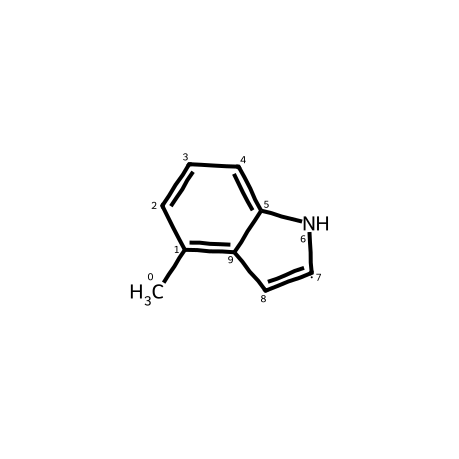 Cc1cccc2[nH][c]cc12